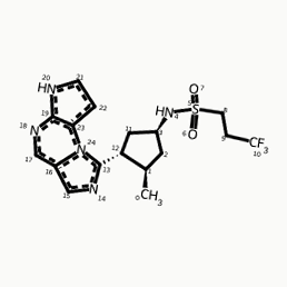 C[C@@H]1C[C@H](NS(=O)(=O)CCC(F)(F)F)C[C@H]1c1ncc2cnc3[nH]ccc3n12